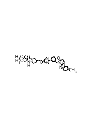 Cc1ccc2nc3n(Cc4cccc(-c5ncc(OCC6CCC(NC(=O)OC(C)(C)C)CC6)cn5)c4)c(=O)ccn3c2c1